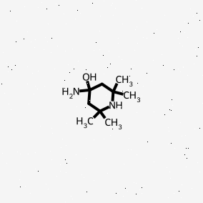 CC1(C)CC(N)(O)CC(C)(C)N1